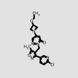 CCOC1CN(c2cnn(Cc3c(-c4ccc(Cl)nc4)noc3C)c(=O)c2)C1